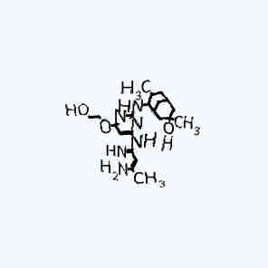 C/C(N)=C/C(=N)Nc1cc(OCCO)nc(NC2C(C)CC3CC2CC(C)(O)C3)n1